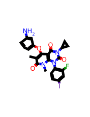 Cc1c(Oc2cccc(N)c2)c2c(=O)n(C3CC3)c(=O)n(-c3ccc(I)cc3F)c2n(C)c1=O